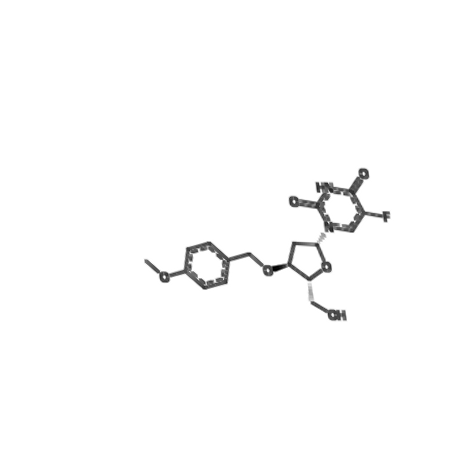 COc1ccc(CO[C@H]2C[C@H](n3cc(F)c(=O)[nH]c3=O)O[C@@H]2CO)cc1